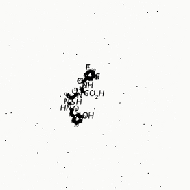 Cc1nc(NC(=O)Cc2cccc(O)c2)sc1C(=O)N[C@@H](CNC(=O)c1cc(F)cc(F)c1)C(=O)O